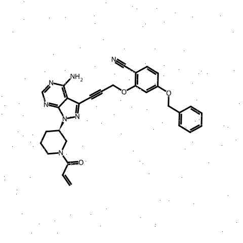 C=CC(=O)N1CCC[C@@H](n2nc(C#CCOc3cc(OCc4ccccc4)ccc3C#N)c3c(N)ncnc32)C1